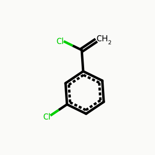 C=C(Cl)c1cccc(Cl)c1